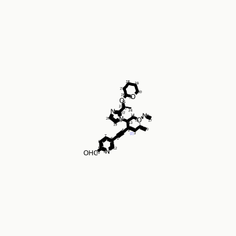 C=C/C=C(/C#Cc1ccc(C=O)nc1)C(CON=C)n1ccnc1[C@H](C)OC1CCCCO1